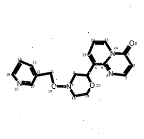 O=c1ccnc2c(C3CN(OCc4cccnc4)CCO3)cccn12